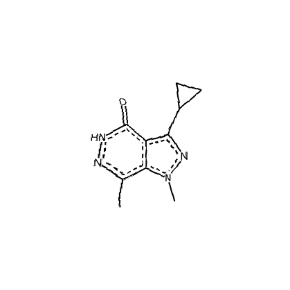 Cc1n[nH]c(=O)c2c(C3CC3)nn(C)c12